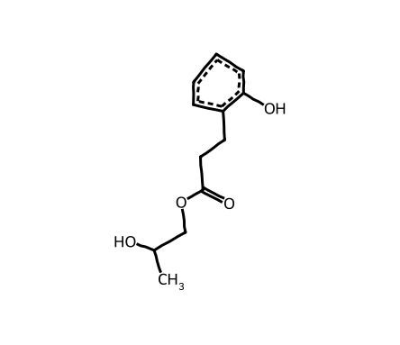 CC(O)COC(=O)CCc1ccccc1O